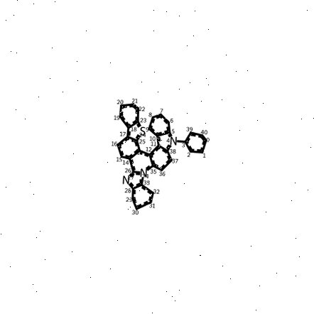 c1ccc(-n2c3ccccc3c3c4c5c(ccc6c7ccccc7sc65)c5nc6ccccc6n5c4ccc32)cc1